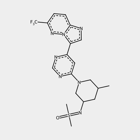 CC1CC(N=S(C)(C)=O)CN(c2cc(-c3cnc4ccc(C(F)(F)F)nn34)ncn2)C1